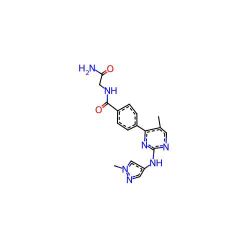 Cc1cnc(Nc2cnn(C)c2)nc1-c1ccc(C(=O)NCC(N)=O)cc1